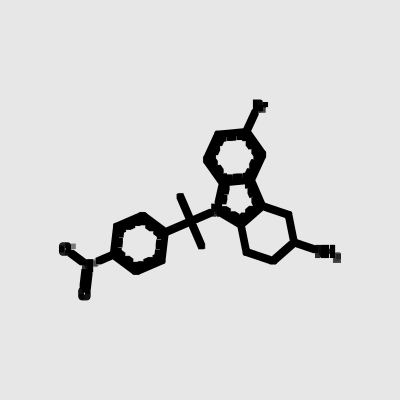 CC(C)(c1ccc([N+](=O)[O-])cc1)n1c2c(c3cc(Br)ccc31)CC(N)CC2